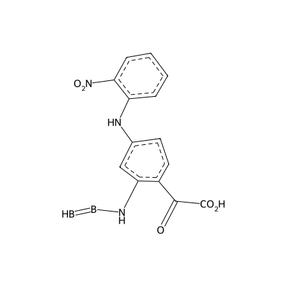 B=BNc1cc(Nc2ccccc2[N+](=O)[O-])ccc1C(=O)C(=O)O